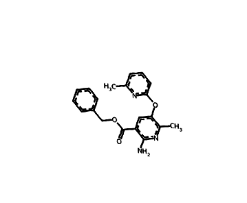 Cc1cccc(Oc2cc(C(=O)OCc3ccccc3)c(N)nc2C)n1